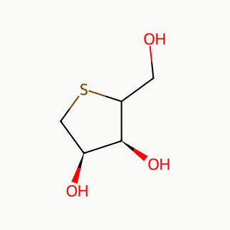 OCC1SC[C@H](O)[C@@H]1O